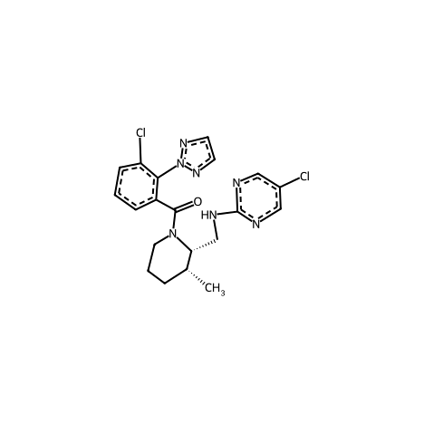 C[C@@H]1CCCN(C(=O)c2cccc(Cl)c2-n2nccn2)[C@@H]1CNc1ncc(Cl)cn1